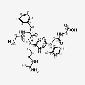 N=C(N)NCCC[C@H](NC(=O)[C@H](Cc1ccccc1)NC(=O)CN)C(=O)N[C@@H](Cc1c[nH]cn1)C(=O)NCC(=O)NCC(=O)O